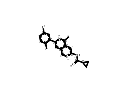 Cc1ccc(F)cc1-c1cc2cnc(NC(=O)C3CC3)cc2c(C)n1